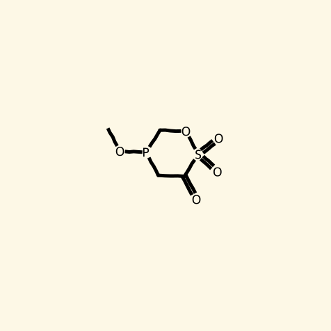 COP1COS(=O)(=O)C(=O)C1